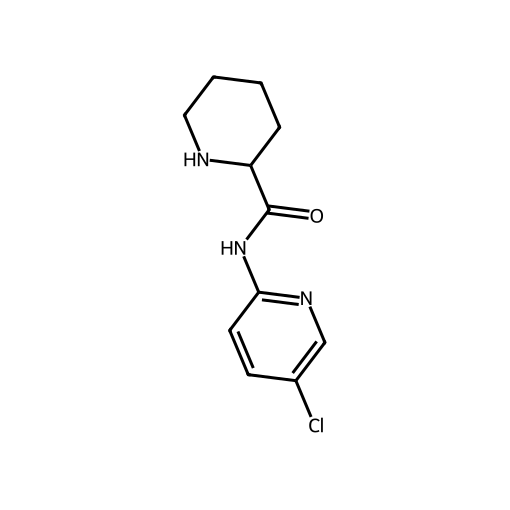 O=C(Nc1ccc(Cl)cn1)C1CCCCN1